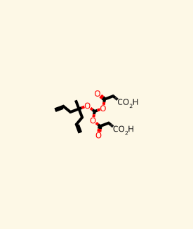 C=CCC(C)(CC=C)OC(OC(=O)CC(=O)O)OC(=O)CC(=O)O